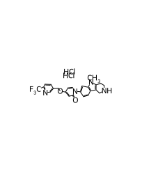 Cl.Cl.Cn1c2c(c3ccc(-n4ccc(OCc5ccc(C(F)(F)F)nc5)cc4=O)cc31)CNCC2